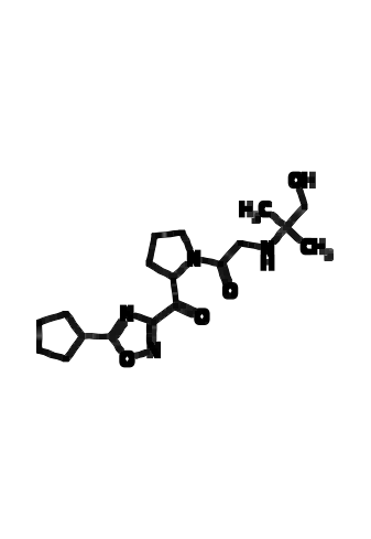 CC(C)(CO)NCC(=O)N1CCCC1C(=O)c1noc(C2CCCC2)n1